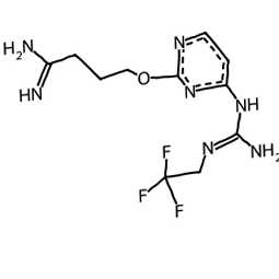 N=C(N)CCCOc1nccc(NC(N)=NCC(F)(F)F)n1